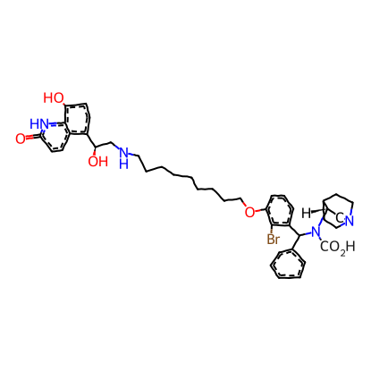 O=C(O)N(C(c1ccccc1)c1cccc(OCCCCCCCCCNC[C@@H](O)c2ccc(O)c3[nH]c(=O)ccc23)c1Br)[C@H]1CN2CCC1CC2